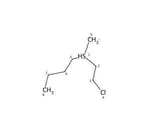 [CH2][SH](CCCl)CCCC